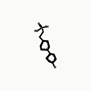 O=P(O)(O)C[CH]c1ccc(-c2ccc(Cl)cc2)cc1